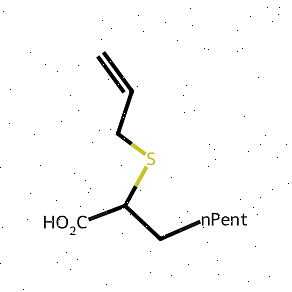 C=CCSC(CCCCCC)C(=O)O